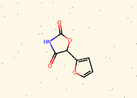 O=C1NC(=O)C(c2ccco2)O1